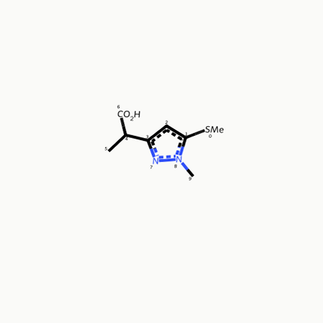 CSc1cc(C(C)C(=O)O)nn1C